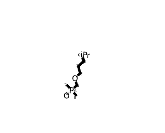 CC(C)CCCOCP(C)(C)=O